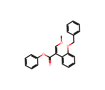 COC=C(C(=O)Oc1ccccc1)c1ccccc1OCc1ccccc1